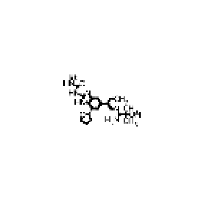 C=C/C(=C\N=C(/N)C(C)(C)O)c1cc([C@H]2CCCO2)c2[nH]c(NC(=O)NCC)nc2c1